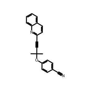 CC(C)(C#Cc1ccc2ccccc2n1)Oc1ccc(C#N)cc1